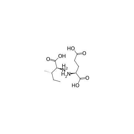 CC[C@H](C)[C@H](N)C(=O)O.N[C@@H](CCC(=O)O)C(=O)O